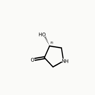 O=C1CNC[C@H]1O